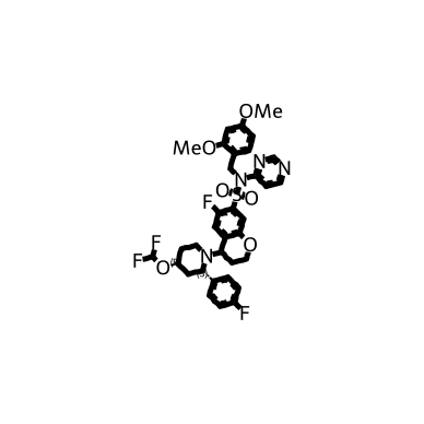 COc1ccc(CN(c2ccncn2)S(=O)(=O)c2cc3c(cc2F)C(N2CC[C@@H](OC(F)F)C[C@H]2c2ccc(F)cc2)CCO3)c(OC)c1